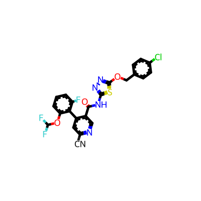 N#Cc1cc(-c2c(F)cccc2OC(F)F)c(C(=O)Nc2nnc(OCc3ccc(Cl)cc3)s2)cn1